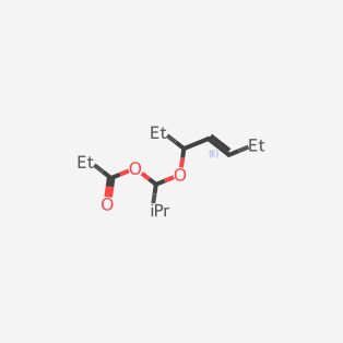 CC/C=C/C(CC)OC(OC(=O)CC)C(C)C